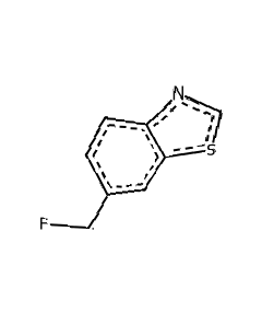 F[CH]c1ccc2ncsc2c1